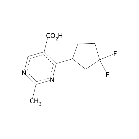 Cc1ncc(C(=O)O)c(C2CCC(F)(F)C2)n1